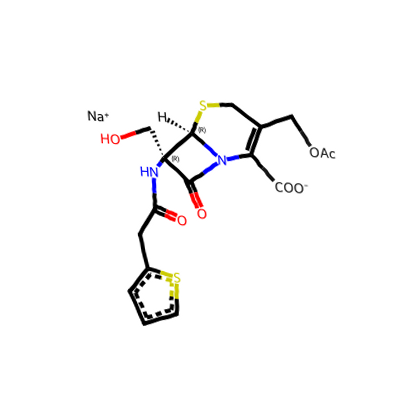 CC(=O)OCC1=C(C(=O)[O-])N2C(=O)[C@@](CO)(NC(=O)Cc3cccs3)[C@H]2SC1.[Na+]